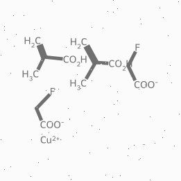 C=C(C)C(=O)O.C=C(C)C(=O)O.O=C([O-])CF.O=C([O-])CF.[Cu+2]